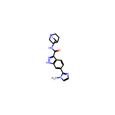 Cn1ccnc1-c1ccc2c(C(=O)NC3CN4CCC3CC4)n[nH]c2c1